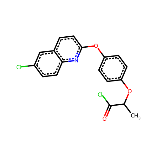 CC(Oc1ccc(Oc2ccc3cc(Cl)ccc3n2)cc1)C(=O)Cl